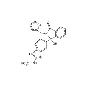 O=C(O)Nc1nc2cc(C3(O)c4ccccc4C(=O)N3Cc3ccco3)ccc2[nH]1